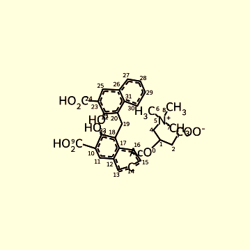 CC(=O)OC(CC(=O)[O-])C[N+](C)(C)C.O=C(O)c1cc2ccccc2c(Cc2c(O)c(C(=O)O)cc3ccccc23)c1O